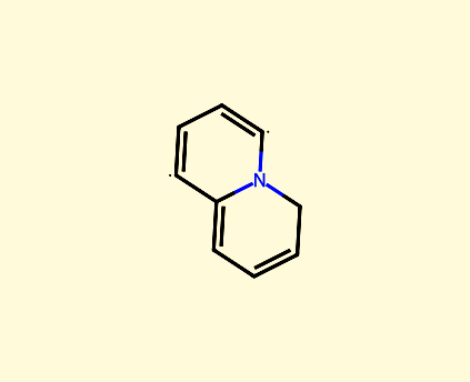 [C]1=CC=[C]N2CC=CC=C12